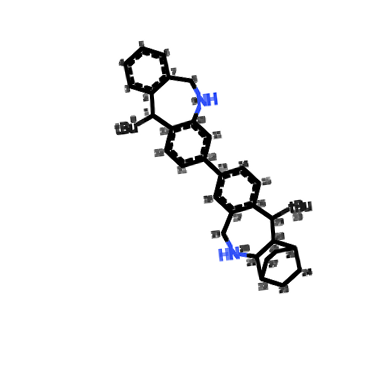 CC(C)(C)C1c2ccccc2CNc2cc(-c3ccc4c(c3)CNC3C5CCC(CC5)C3C4C(C)(C)C)ccc21